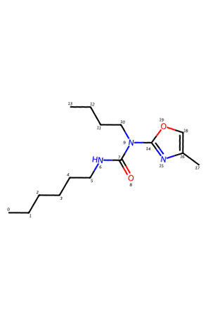 CCCCCCNC(=O)N(CCCC)c1nc(C)co1